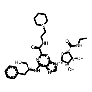 CCNC(=O)[C@H]1O[C@@H](n2cnc3c(N[C@H](CO)Cc4ccccc4)nc(C(=O)NCCN4CCCCC4)nc32)[C@@H](O)[C@@H]1O